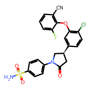 N#Cc1cccc(F)c1Oc1cc([C@H]2CC(=O)N(c3ccc(S(N)(=O)=O)cc3)C2)ccc1Cl